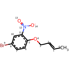 CC=CCOc1ccc(Br)cc1[N+](=O)[O-]